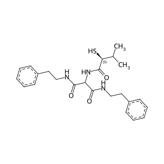 CC(C)[C@H](S)C(=O)NC(C(=O)NCCc1ccccc1)C(=O)NCCc1ccccc1